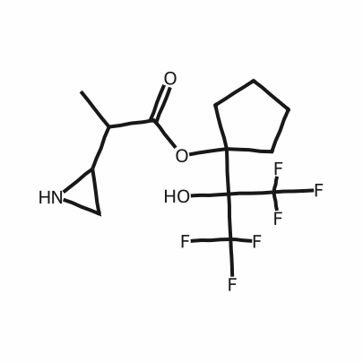 CC(C(=O)OC1(C(O)(C(F)(F)F)C(F)(F)F)CCCC1)C1CN1